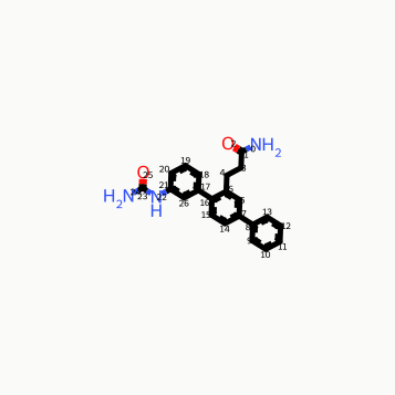 NC(=O)CCc1cc(-c2ccccc2)ccc1-c1cccc(NC(N)=O)c1